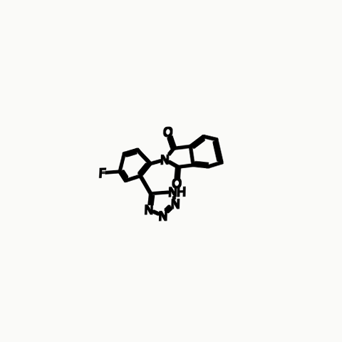 O=C1c2ccccc2C(=O)N1c1ccc(F)cc1-c1nnn[nH]1